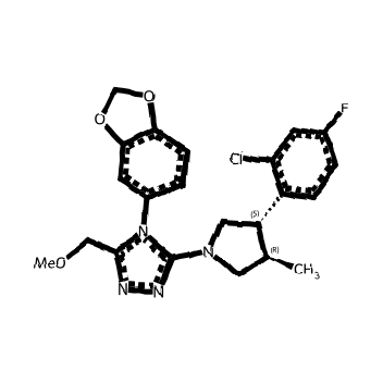 COCc1nnc(N2C[C@H](c3ccc(F)cc3Cl)[C@@H](C)C2)n1-c1ccc2c(c1)OCO2